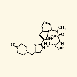 CN(c1cccc2cc(C3=NCC(CN4CC[S+]([O-])CC4)S3)[nH]c12)S(=O)(=O)c1nccn1C